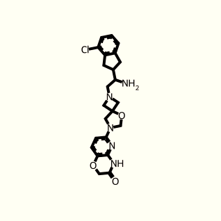 NC(CN1CC2(C1)CN(c1ccc3c(n1)NC(=O)CO3)CO2)C1Cc2cccc(Cl)c2C1